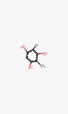 [CH2]c1c(O)cc(O)c(C(C)=O)c1O